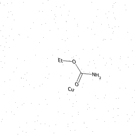 CCOC(N)=O.[Cu]